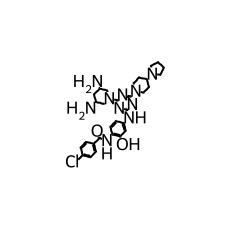 N[C@@H]1C[C@H](N)CN(c2nc(Nc3ccc(NC(=O)c4ccc(Cl)cc4)c(O)c3)nc(N3CCC(N4CCCC4)CC3)n2)C1